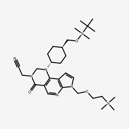 CC(C)(C)[Si](C)(C)OC[C@H]1CC[C@H](N2CN(CC#N)C(=O)c3cnc4c(ccn4COCC[Si](C)(C)C)c32)CC1